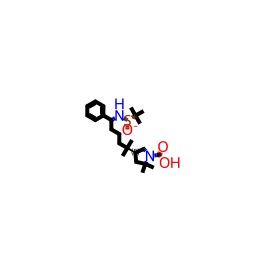 CC(C)(CCCC(N[S+]([O-])C(C)(C)C)c1ccccc1)[C@H]1CN(C(=O)O)C(C)(C)C1